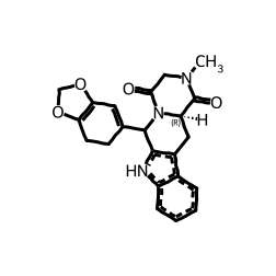 CN1CC(=O)N2C(C3=CC4=C(CC3)OCO4)c3[nH]c4ccccc4c3C[C@@H]2C1=O